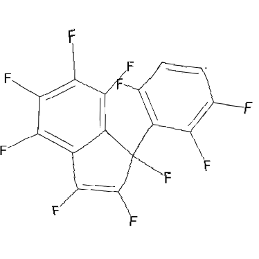 FC1=C(F)C(F)(c2c(F)c[c]c(F)c2F)c2c(F)c(F)c(F)c(F)c21